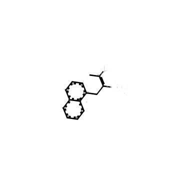 CCC(C)=C(Cc1cccc2ccccc12)C(=O)O